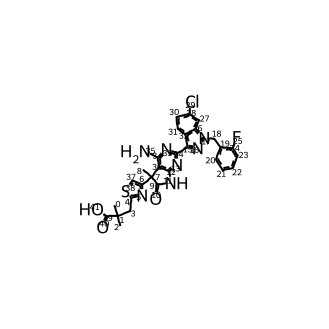 CC(C)(Cc1nc(C2(C)C(=O)Nc3nc(-c4nn(Cc5ccccc5F)c5cc(Cl)ccc45)nc(N)c32)cs1)C(=O)O